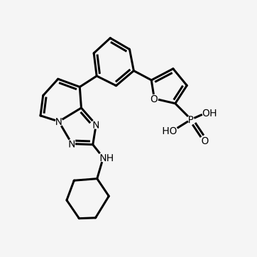 O=P(O)(O)c1ccc(-c2cccc(-c3cccn4nc(NC5CCCCC5)nc34)c2)o1